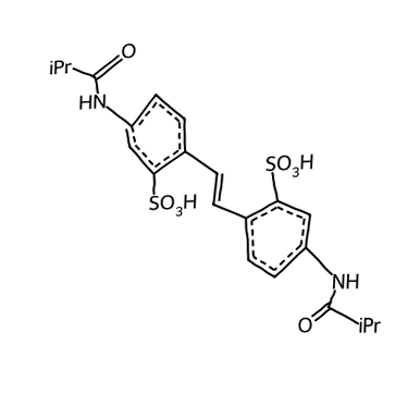 CC(C)C(=O)Nc1ccc(C=Cc2ccc(NC(=O)C(C)C)cc2S(=O)(=O)O)c(S(=O)(=O)O)c1